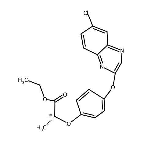 CCOC(=O)[C@@H](C)Oc1ccc(Oc2cnc3cc(Cl)ccc3n2)cc1